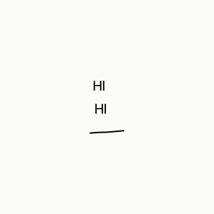 CC.I.I